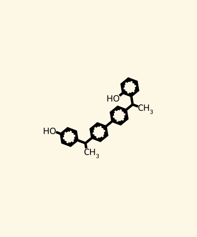 CC(c1ccc(O)cc1)c1ccc(-c2ccc(C(C)c3ccccc3O)cc2)cc1